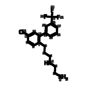 NCCNCCCc1ccc(Cl)cc1-c1cccc(C(F)(F)F)c1